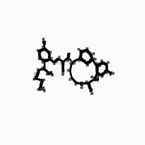 C=N/N=C\N(N)c1ccc(Cl)cc1/C=C/C(=O)N[C@H]1CCCCC(=O)Nc2cc(F)ccc2-c2ccnc1c2